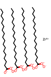 CCCCCCCCCCCCCCCCCC([O-])=[O+][O-].CCCCCCCCCCCCCCCCCC([O-])=[O+][O-].CCCCCCCCCCCCCCCCCC([O-])=[O+][O-].CCCCCCCCCCCCCCCCCC([O-])=[O+][O-].[Zr+4]